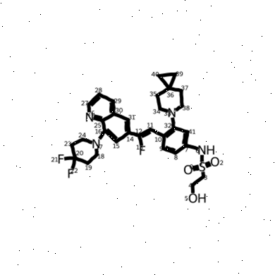 O=S(=O)(CCO)Nc1ccc(C=C(F)c2cc(N3CCC(F)(F)CC3)c3ncccc3c2)c(N2CCC3(CC2)CC3)c1